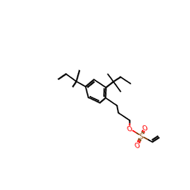 C=CS(=O)(=O)OCCCc1ccc(C(C)(C)CC)cc1C(C)(C)CC